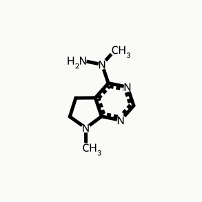 CN(N)c1ncnc2c1CCN2C